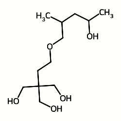 CC(O)CC(C)COCCC(CO)(CO)CO